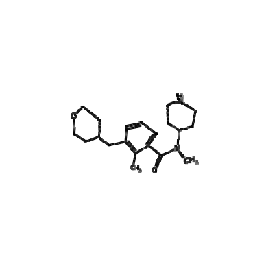 Cc1c(CC2CCOCC2)cccc1C(=O)N(C)C1CCNCC1